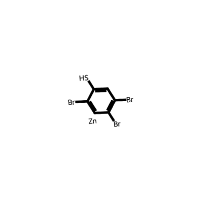 Sc1cc(Br)c(Br)cc1Br.[Zn]